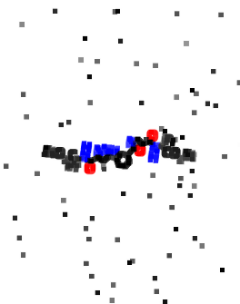 CCOC(=O)[C@@H](NC(=O)c1cc(-c2cccc(-c3ncc(C(=O)N[C@H](C(=O)OCC)C(C)C)o3)c2)[nH]n1)C(C)C